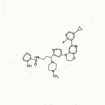 CN1CCN(C(CCNC(=O)c2ccccc2O)c2cc(N3CCOc4cnc(-c5cc(C6CC6)ccc5F)cc43)ccn2)CC1